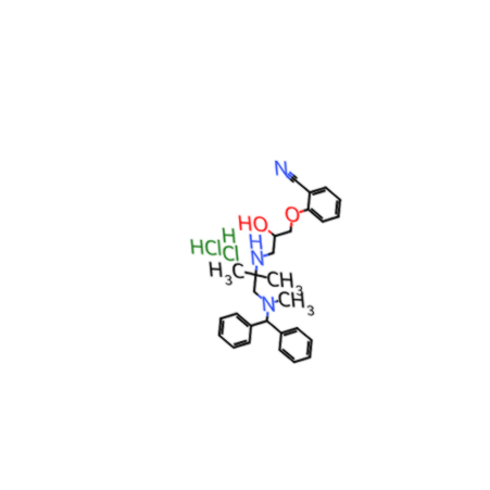 CN(CC(C)(C)NCC(O)COc1ccccc1C#N)C(c1ccccc1)c1ccccc1.Cl.Cl